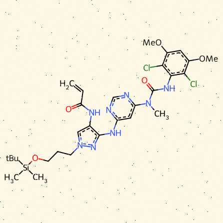 C=CC(=O)Nc1cn(CCCO[Si](C)(C)C(C)(C)C)nc1Nc1cc(N(C)C(=O)Nc2c(Cl)c(OC)cc(OC)c2Cl)ncn1